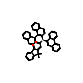 CC1(C)c2ccccc2-c2ccc(N(c3ccc4ccccc4c3-c3cccc4ccccc34)c3cc4ccccc4c4ccccc34)cc21